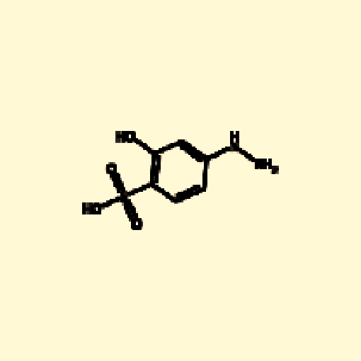 NNc1ccc(S(=O)(=O)O)c(O)c1